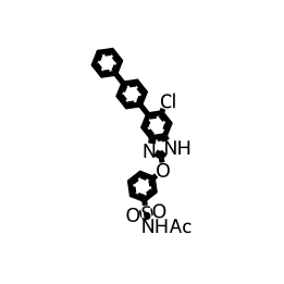 CC(=O)NS(=O)(=O)c1cccc(Oc2nc3cc(-c4ccc(-c5ccccc5)cc4)c(Cl)cc3[nH]2)c1